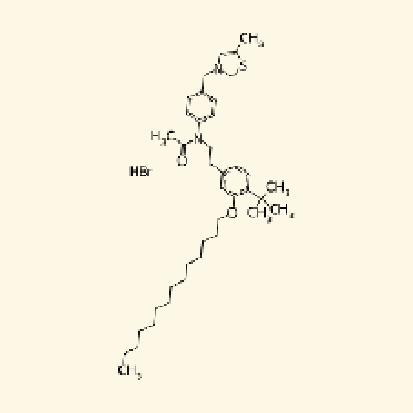 Br.CCCCCCCCCCCCCCOc1cc(CCN(C(C)=O)c2ccc(CN3C=C(C)SC3)cc2)ccc1C(C)(C)C